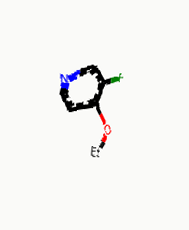 CCOc1ccn[c]c1F